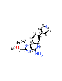 CCOCc1nc2c(N)nc3cc(-c4ccncc4)ccc3c2n1CC(C)C